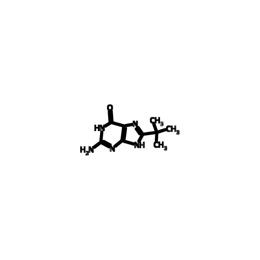 CC(C)(C)c1nc2c(=O)[nH]c(N)nc2[nH]1